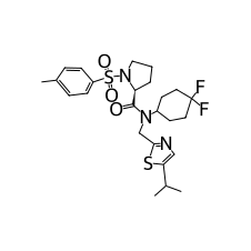 Cc1ccc(S(=O)(=O)N2CCC[C@H]2C(=O)N(Cc2ncc(C(C)C)s2)C2CCC(F)(F)CC2)cc1